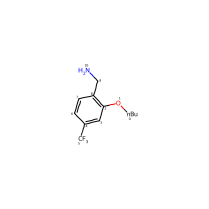 CCCCOc1cc(C(F)(F)F)ccc1CN